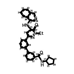 CCn1nc(-c2cccc(-c3cccc(C(=O)NC4CCCC4)c3)c2)cc(Nc2cncc3ccccc23)c1=O